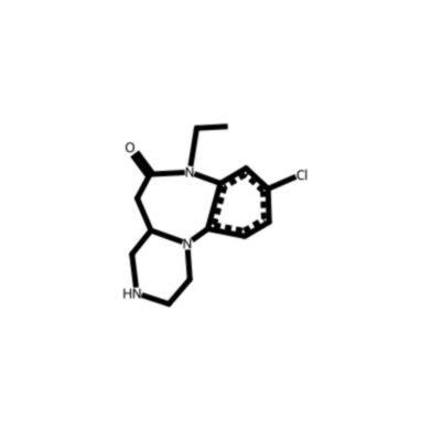 CCN1C(=O)CC2CNCCN2c2ccc(Cl)cc21